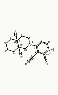 N#Cc1c(N2CC[C@H]3CCCC[C@H]3C2)cc[nH]c1=S